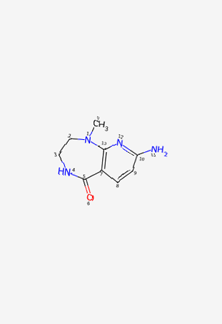 CN1CCNC(=O)c2ccc(N)nc21